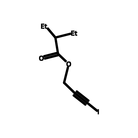 CCC(CC)C(=O)OCC#CI